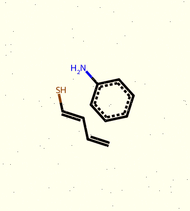 C=CC=CS.Nc1ccccc1